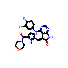 O=C1Nc2ncnc(Nc3ccc(F)c(Cl)c3)c2/C1=C\c1ccc(C(=O)N2CCOCC2)[nH]1